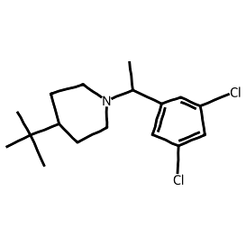 CC(c1cc(Cl)cc(Cl)c1)N1CCC(C(C)(C)C)CC1